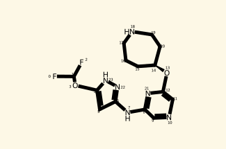 FC(F)Oc1cc(Nc2cncc(O[C@H]3CCCNCC3)n2)n[nH]1